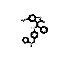 CN(Cc1ccc(NC(=C2C(=O)Nc3ccc([N+](=O)[O-])cc32)c2ccccc2)cc1)C1CCCC1